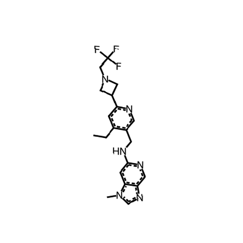 CCc1cc(C2CN(CC(F)(F)F)C2)ncc1CNc1cc2c(cn1)ncn2C